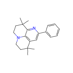 CC1(C)CCN2CCC(C)(C)c3nc(-c4ccccc4)cc1c32